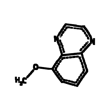 COc1cccc2nccnc12